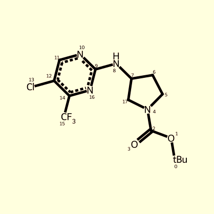 CC(C)(C)OC(=O)N1CCC(Nc2ncc(Cl)c(C(F)(F)F)n2)C1